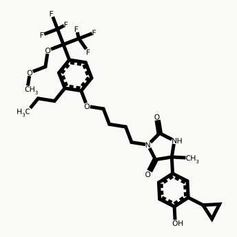 CCCc1cc(C(OCOC)(C(F)(F)F)C(F)(F)F)ccc1OCCCCN1C(=O)NC(C)(c2ccc(O)c(C3CC3)c2)C1=O